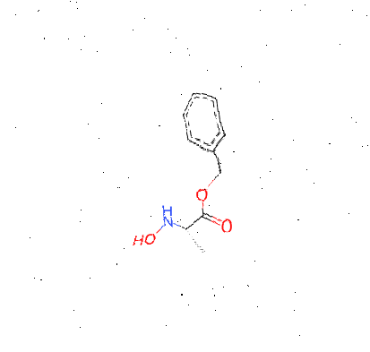 C[C@H](NO)C(=O)OCc1ccccc1